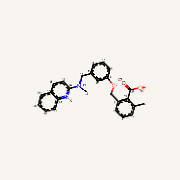 Cc1cccc(COc2cccc(CN(C)c3ccc4ccccc4n3)c2)c1C(=O)O